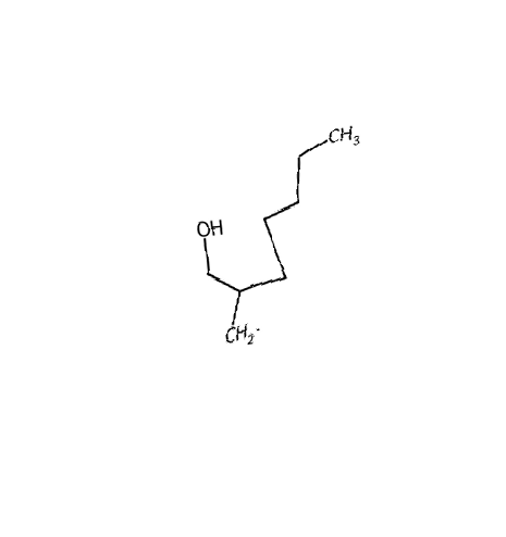 [CH2]C(CO)CCCCC